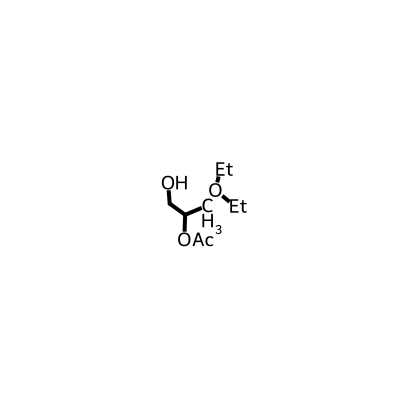 CC(=O)OC(C)CO.CCOCC